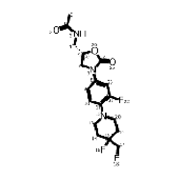 CC(=O)NC[C@H]1CN(c2ccc(N3CCC(F)(CF)CC3)c(F)c2)C(=O)O1